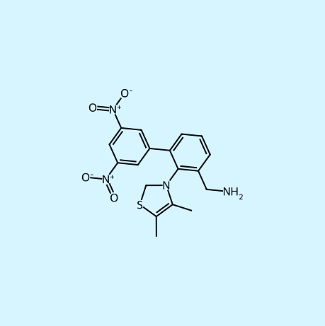 CC1=C(C)N(c2c(CN)cccc2-c2cc([N+](=O)[O-])cc([N+](=O)[O-])c2)CS1